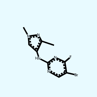 Cc1nn(C)cc1Nc1ncc(Br)c(F)n1